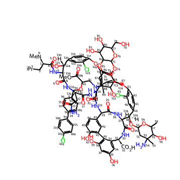 CN[C@H](CC(C)C)C(=O)NC1C(=O)N[C@@H](CC(N)=O)C(=O)N[C@H]2C(=O)NC3C(=O)N[C@H](C(=O)N[C@@H](C(=O)O)c4cc(O)cc(O)c4-c4cc3ccc4O)[C@H](OC3CC(C)(N)C(O)C(C)O3)c3ccc(c(Cl)c3)Oc3cc2cc(c3OC2OC(CO)C(O)C(O)C2OC2CC(C)(NCC(OCc3ccc(-c4ccc(Cl)cc4)cc3)C(=O)OC)C(O)C(C)O2)Oc2ccc(cc2Cl)[C@H]1O